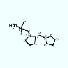 CC(C)(N)CN1CCC[C@H]1CN1CCCC1